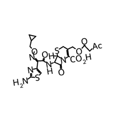 CC(=O)CC(=O)OCC1=C(C(=O)O)N2C(=O)[C@@H](NC(=O)/C(=N\OCC3CC3)c3csc(N)n3)[C@@H]2SC1